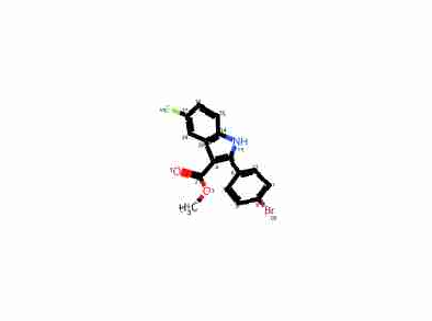 COC(=O)c1c(-c2ccc(Br)cc2)[nH]c2ccc(F)cc12